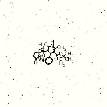 CC1=C(C(=O)OC(C)(C)C)C(c2ccccc2)C(C(=O)O[N+]2(O)C(=O)CCC2=O)=C(C)N1